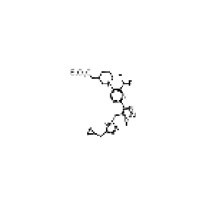 CCOC(=O)C[C@H]1CCCN(c2ccc(-c3nnn(C)c3Cn3ncc(CC4CC4)n3)nc2C(F)F)C1